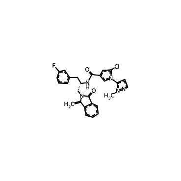 C=C1c2ccccc2C(=O)N1C[C@H](Cc1cccc(F)c1)NC(=O)c1cc(Cl)n(-c2ccnn2C)c1